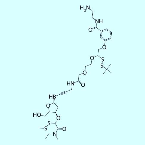 CCN(C)C(=O)[C@@H](O[C@@H]1C[C@H](BC#CCNC(=O)COCCOC(COc2cccc(C(=O)NCCN)c2)SSC(C)(C)C)OC1CO)SSC